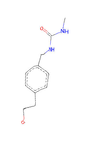 CNC(=O)NCc1ccc(CC[O])cc1